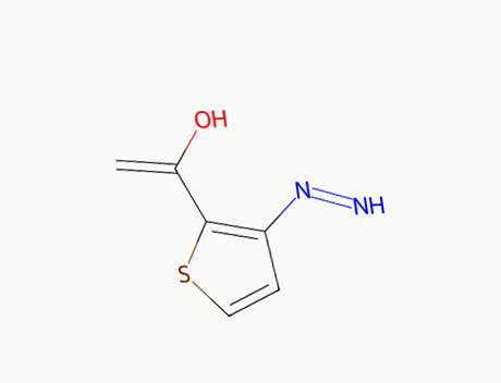 C=C(O)c1sccc1N=N